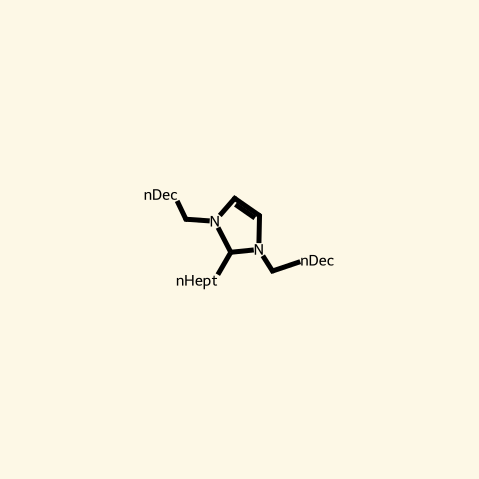 CCCCCCCCCCCN1C=CN(CCCCCCCCCCC)C1CCCCCCC